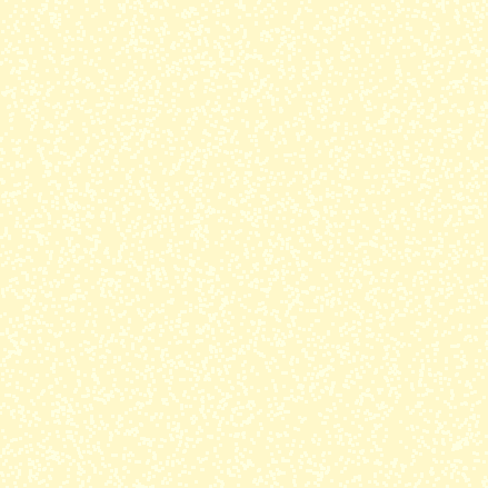 O=CC(CC(=O)O)c1c(Cl)ccc2ccccc12